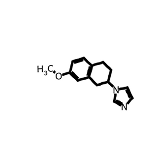 COc1ccc2c(c1)CC(n1ccnc1)CC2